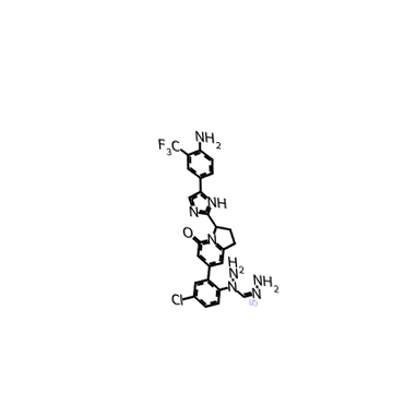 N/N=C\N(N)c1ccc(Cl)cc1-c1cc2n(c(=O)c1)C(c1ncc(-c3ccc(N)c(C(F)(F)F)c3)[nH]1)CC2